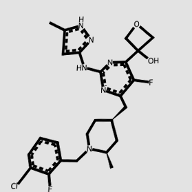 Cc1cc(Nc2nc(C[C@@H]3CCN(Cc4cccc(Cl)c4F)[C@H](C)C3)c(F)c(C3(O)COC3)n2)n[nH]1